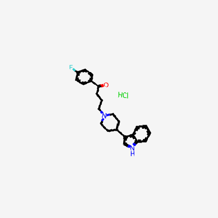 Cl.O=C(CCCN1CCC(c2c[nH]c3ccccc23)CC1)c1ccc(F)cc1